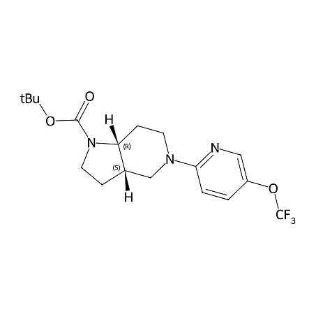 CC(C)(C)OC(=O)N1CC[C@H]2CN(c3ccc(OC(F)(F)F)cn3)CC[C@H]21